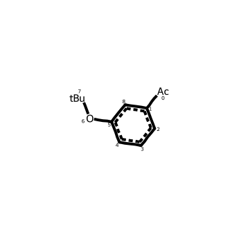 CC(=O)c1cccc(OC(C)(C)C)c1